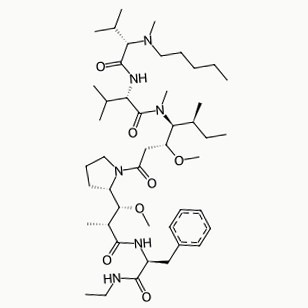 CCCCCN(C)[C@H](C(=O)N[C@H](C(=O)N(C)[C@@H]([C@@H](C)CC)[C@@H](CC(=O)N1CCC[C@H]1[C@H](OC)[C@@H](C)C(=O)N[C@@H](Cc1ccccc1)C(=O)NCC)OC)C(C)C)C(C)C